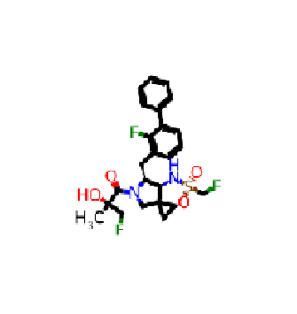 CC(O)(CF)C(=O)N1CC2(CC2)[C@H](NS(=O)(=O)CF)[C@@H]1Cc1cccc(-c2ccccc2)c1F